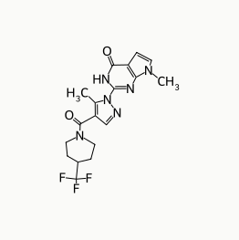 Cc1c(C(=O)N2CCC(C(F)(F)F)CC2)cnn1-c1nc2c(ccn2C)c(=O)[nH]1